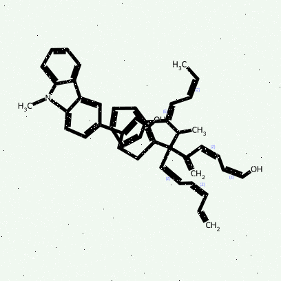 C=C/C=C\C=C/C(C(=C)/C=C\C=C/O)(C1=C(O)C=C(c2ccc3c(c2)c2ccccc2n3C)CC1)C(C)/C(=C\C=C/C)c1ccccc1